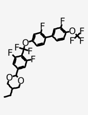 CCC1COC(c2cc(F)c(C(F)(F)Oc3ccc(-c4ccc(OC(F)(F)F)c(F)c4)c(F)c3)c(F)c2)OC1